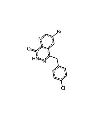 O=c1[nH]nc(Cc2ccc(Cl)cc2)c2cc(Br)cnc12